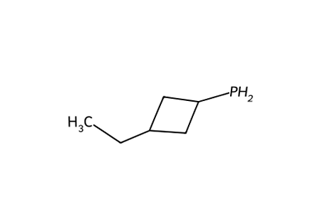 CCC1CC(P)C1